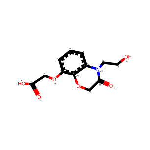 O=C(O)COc1cccc2c1OCC(=O)N2CCO